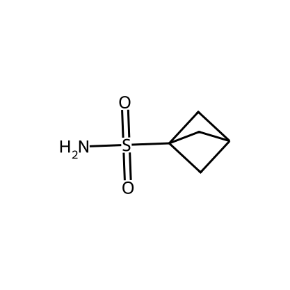 NS(=O)(=O)C12CC(C1)C2